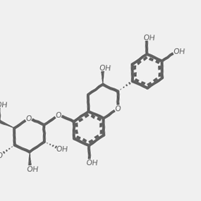 OC[C@H]1OC(Oc2cc(O)cc3c2C[C@@H](O)[C@H](c2ccc(O)c(O)c2)O3)[C@H](O)[C@@H](O)[C@@H]1O